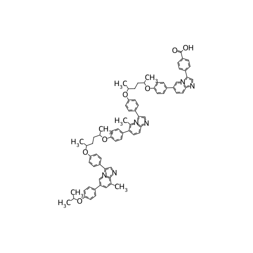 Cc1cc(-c2ccc(OC(C)C)cc2)cn2c(-c3ccc(OC(C)CCC(C)Oc4ccc(-c5ccc6ncc(-c7ccc(OC(C)CCC(C)Oc8ccc(-c9ccc%10ncc(-c%11ccc(C(=O)O)cc%11)n%10c9)cc8)cc7)n6c5C)cc4)cc3)cnc12